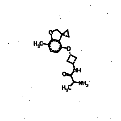 Cc1ccc(O[C@H]2C[C@H](NC(=O)[C@H](C)N)C2)c2c1OCC21CC1